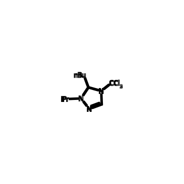 CCCCC1N(C(C)C)N=CN1C(Cl)(Cl)Cl